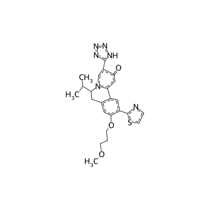 COCCCOc1cc2c(cc1-c1nccs1)-c1cc(=O)c(-c3nnn[nH]3)cn1C(C(C)C)C2